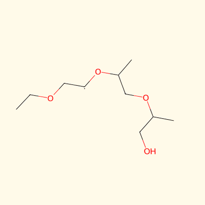 CCOC[CH]OC(C)COC(C)CO